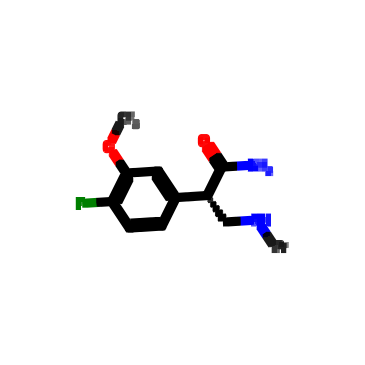 CC(C)NC[C@@H](C(N)=O)c1ccc(F)c(OC(F)(F)F)c1